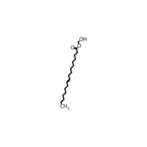 CCCCCCCC=CCCCCCCCCC(=O)OCO